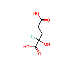 O=C(O)CCC(O)(F)C(=O)O